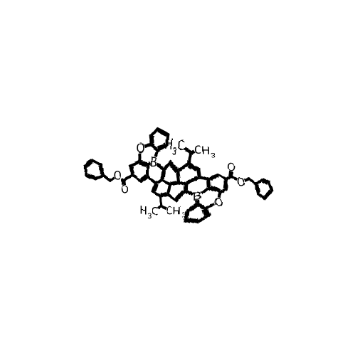 CC(C)c1cc2c3c(cc4c(C(C)C)cc5c6c(cc1c3c46)B1c3ccccc3Oc3cc(C(=O)OCc4ccccc4)cc-5c31)B1c3ccccc3Oc3cc(C(=O)OCc4ccccc4)cc-2c31